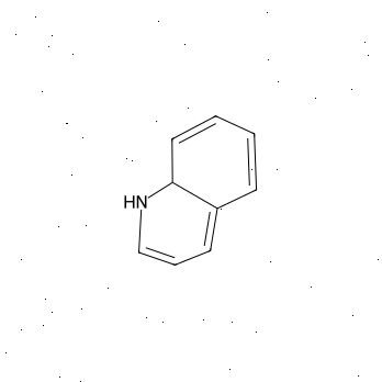 C1=CNC2C=CC=CC2=C1